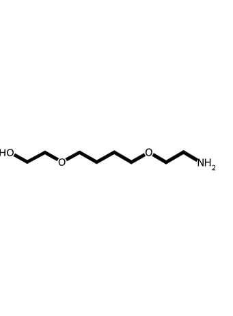 NCCOCCCCOCCO